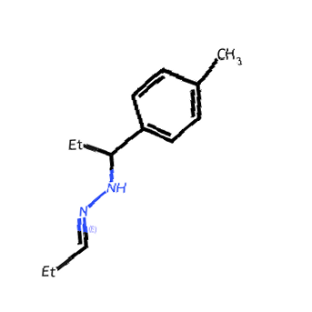 CC/C=N/NC(CC)c1ccc(C)cc1